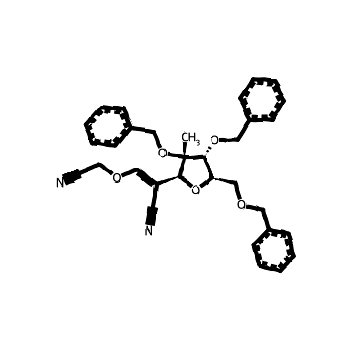 C[C@@]1(OCc2ccccc2)[C@H](OCc2ccccc2)[C@@H](COCc2ccccc2)O[C@H]1C(C#N)=COCC#N